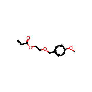 C=CC(=O)OCCOCc1ccc(OC)cc1